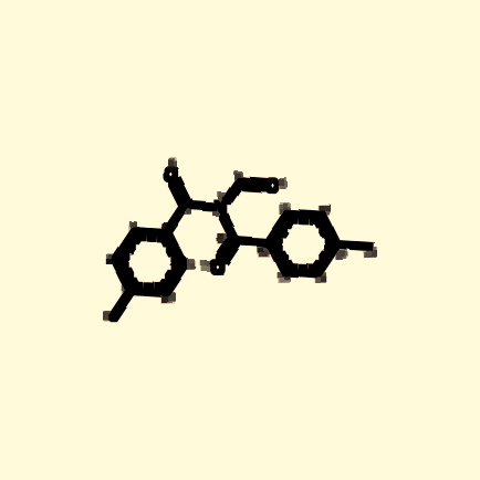 Cc1ccc(C(=O)N(C=O)C(=O)c2ccc(C)cc2)cc1